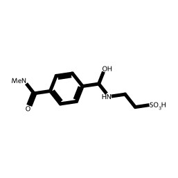 CNC(=O)c1ccc(C(O)NCCS(=O)(=O)O)cc1